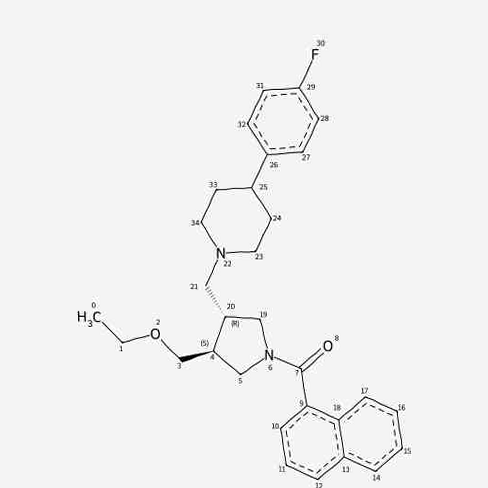 CCOC[C@@H]1CN(C(=O)c2cccc3ccccc23)C[C@H]1CN1CCC(c2ccc(F)cc2)CC1